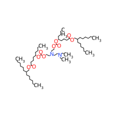 CCCCCCC(CCCCCC)COC(=O)CCCC(CCCC)OC(=O)OCCN(CCOC(=O)OC(CCCC)CCCC(=O)OCC(CCCCCC)CCCCCC)CCN(CC)CC